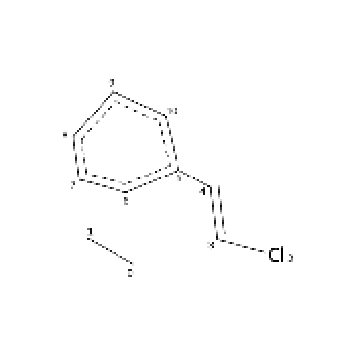 CC.ClC=Cc1ccccc1